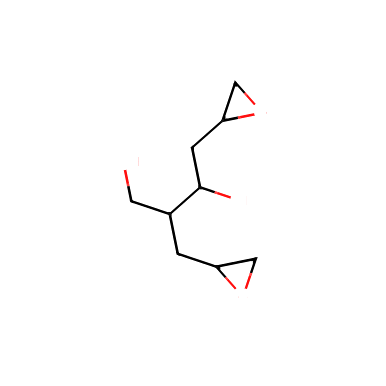 OCC(CC1CO1)C(O)CC1CO1